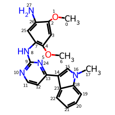 COc1cc(OC)c(Nc2nccc(-c3cn(C)c4ccccc34)n2)cc1N